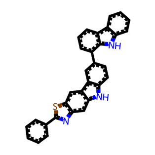 c1ccc(-c2nc3cc4[nH]c5ccc(-c6cccc7c6[nH]c6ccccc67)cc5c4cc3s2)cc1